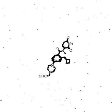 CN(C(=O)c1ccc(N2CCN(CC=O)CC2)cc1C=C1CCC1)C1CCC(=O)NC1=O